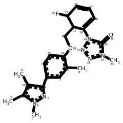 Cc1cc(-c2nn(C)c(C)c2C)ccc1OCC1C(n2nnn(C)c2=O)=CC=CC1F